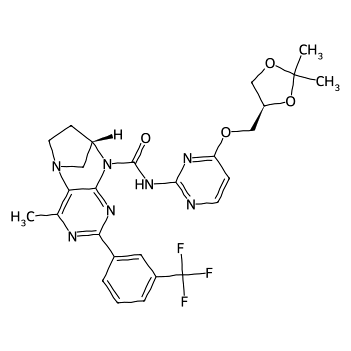 Cc1nc(-c2cccc(C(F)(F)F)c2)nc2c1N1CC[C@@H](C1)N2C(=O)Nc1nccc(OC[C@H]2COC(C)(C)O2)n1